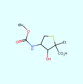 CCC1(C(=O)O)SCC(NC(=O)OC(C)(C)C)C1O